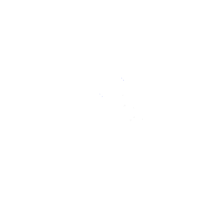 OCCNCCC1(c2ccc(Cl)c(Cl)c2)CCCNC1